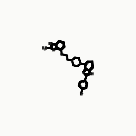 FC(F)(F)c1nc2c(OCCN3CCN(c4cccc5[nH]c(-c6ccc(Br)cc6)nc45)CC3)cccc2[nH]1